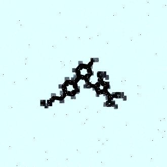 CN(C)c1cc(Oc2cc(F)ccc2-c2ccc(CCN)cn2)n(C)n1